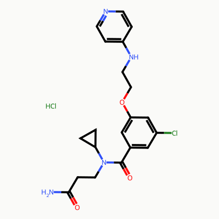 Cl.NC(=O)CCN(C(=O)c1cc(Cl)cc(OCCNc2ccncc2)c1)C1CC1